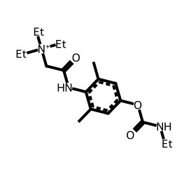 CCNC(=O)Oc1cc(C)c(NC(=O)C[N+](CC)(CC)CC)c(C)c1